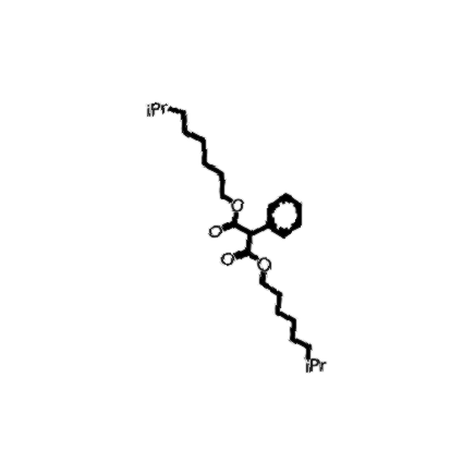 CC(C)CCCCCCOC(=O)C(C(=O)OCCCCCCC(C)C)c1ccccc1